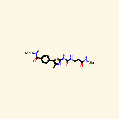 CON(C)C(=O)c1ccc(-c2sc(NC(=O)NCCC(=O)NC(C)(C)C)nc2C)cc1